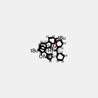 COc1cccc(OC)c1C1=[C]([Hf](=[C](c2ccccc2)c2ccccc2)[CH]2c3cc(C(C)(C)C)ccc3-c3ccc(C(C)(C)C)cc32)CC=C1